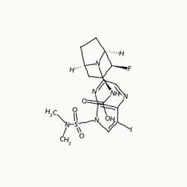 CN(C)S(=O)(=O)n1cc(I)c2ncc(N3[C@@H]4CC[C@H]3[C@@H](F)[C@@H](NC(=O)O)C4)nc21